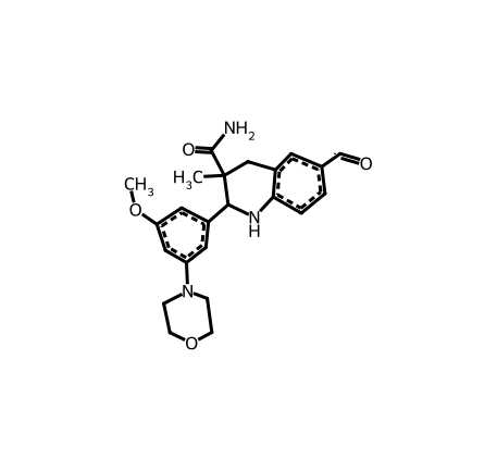 COc1cc(C2Nc3ccc([C]=O)cc3CC2(C)C(N)=O)cc(N2CCOCC2)c1